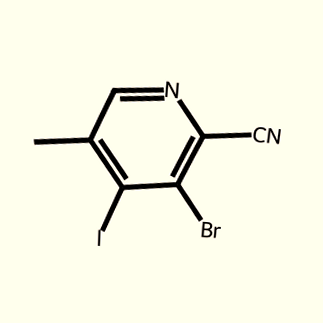 Cc1cnc(C#N)c(Br)c1I